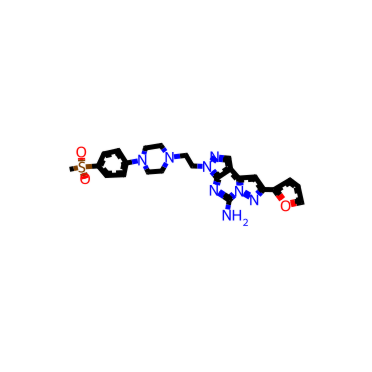 CS(=O)(=O)c1ccc(N2CCN(CCn3ncc4c3nc(N)n3nc(-c5ccco5)cc43)CC2)cc1